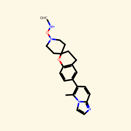 Cc1c(-c2ccc3c(c2)CCC2(CCN(ONC=O)CC2)O3)ccc2nccn12